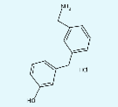 Cl.NCc1cccc(Cc2cccc(O)c2)c1